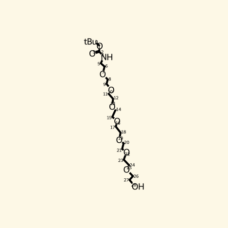 CC(C)(C)OC(=O)NCCOCCOCCOCCOCCOCCOCCOCCO